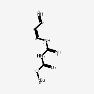 CC(C)(C)OC(=O)NC(=N)N/C=C\C=N